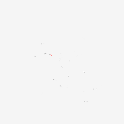 CCCCCCCCCCCC(=O)O[C@H](CCCCCCCCCCC)CC(=O)N[C@@H](COCc1ccccc1)CO[C@@H]1O[C@H](COC(=O)OC(C)(C)C(Cl)(Cl)Cl)[C@@H](OP(=O)(Oc2ccccc2)Oc2ccccc2)[C@H](OC(=O)C[C@@H](CCCCCCCCCCC)OC(=O)CCCCCCCCCCC)[C@H]1NC(=O)OCC(Cl)(Cl)Cl